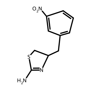 NC1=NC(Cc2cccc([N+](=O)[O-])c2)CS1